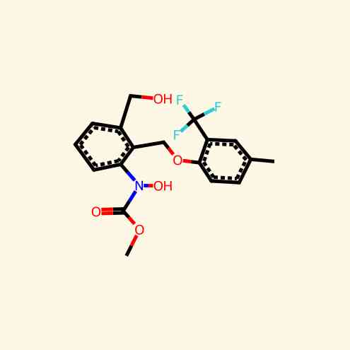 COC(=O)N(O)c1cccc(CO)c1COc1ccc(C)cc1C(F)(F)F